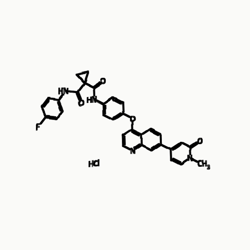 Cl.Cn1ccc(-c2ccc3c(Oc4ccc(NC(=O)C5(C(=O)Nc6ccc(F)cc6)CC5)cc4)ccnc3c2)cc1=O